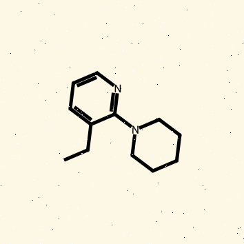 CCc1cccnc1N1CCCCC1